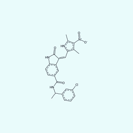 Cc1[nH]c(C=C2C(=O)Nc3ccc(C(=O)NC(C)c4cccc(Cl)c4)cc32)c(C)c1[N+](=O)[O-]